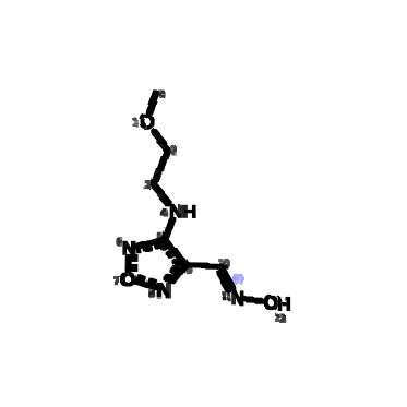 COCCNc1nonc1/[C]=N/O